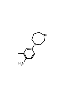 Cc1cc(N2CCCNCC2)ccc1N